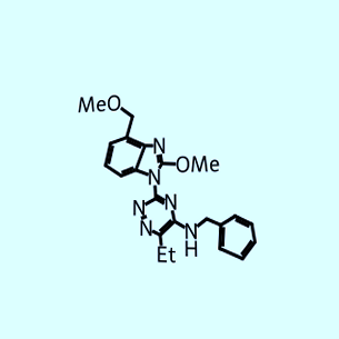 CCc1nnc(-n2c(OC)nc3c(COC)cccc32)nc1NCc1ccccc1